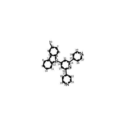 Ic1ccc2c(c1)c1ccccc1n2-c1cc(-c2ccncc2)nc(-c2ccncc2)c1